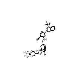 CC1(C)OCC(CN[C@@H]2[C@@H]3CC4C[C@H]2C[C@](CNc2nc(NCc5ccccc5OC(F)(F)F)ncc2C#N)(C4)C3)CO1